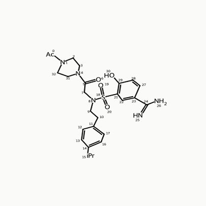 CC(=O)N1CCN(C(=O)CN(CCc2ccc(C(C)C)cc2)S(=O)(=O)c2cc(C(=N)N)ccc2O)CC1